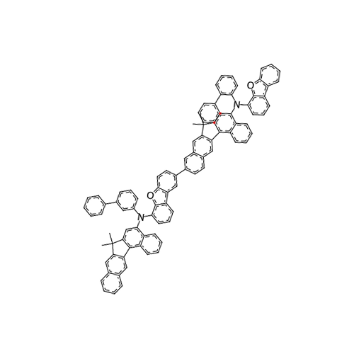 CC1(C)c2cc3ccccc3cc2-c2c1cc(N(c1cccc(-c3ccccc3)c1)c1cccc3c1oc1ccc(-c4ccc5cc6c(cc5c4)C(C)(C)c4cc(N(c5ccccc5-c5ccccc5)c5cccc7c5oc5ccccc57)c5ccccc5c4-6)cc13)c1ccccc21